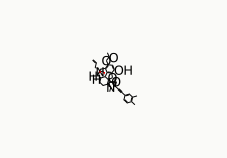 C=CCN1CC[C@]23c4c5c(OC(C)=O)cc(O)c4O[C@H]2[C@@H](N(C)C(=O)C#Cc2ccc(C)c(C)c2)CC[C@H]3[C@H]1C5